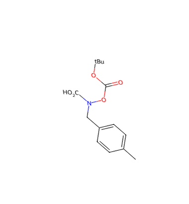 Cc1ccc(CN(OC(=O)OC(C)(C)C)C(=O)O)cc1